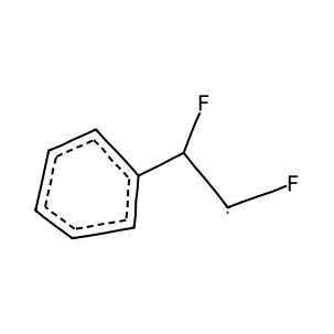 F[CH]C(F)c1ccccc1